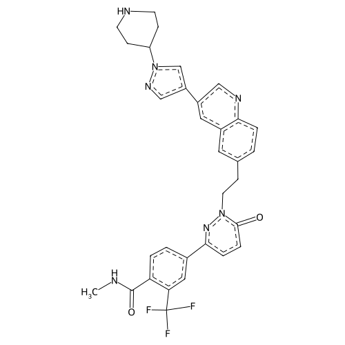 CNC(=O)c1ccc(-c2ccc(=O)n(CCc3ccc4ncc(-c5cnn(C6CCNCC6)c5)cc4c3)n2)cc1C(F)(F)F